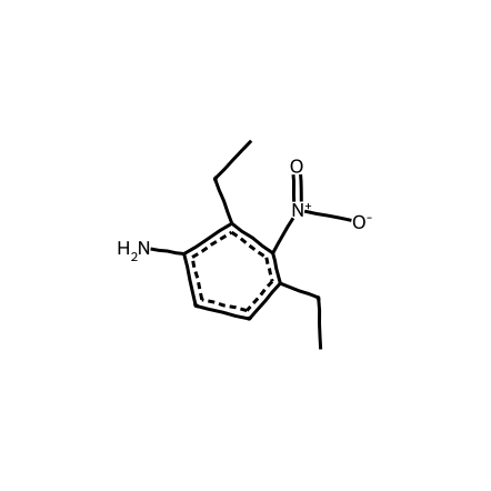 CCc1ccc(N)c(CC)c1[N+](=O)[O-]